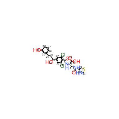 O=C(N[C@@H](CNC(=O)[C@@H]1CSCN1)C(=O)O)c1c(Cl)cc(C(O)CCc2cccc(O)c2)cc1Cl